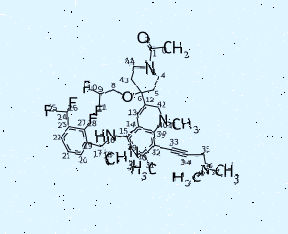 CC(=O)N1CCC(OCC(F)F)(C2=Cc3c(N[C@H](C)c4cccc(C(F)F)c4F)nc(C)c(C#CCN(C)C)c3N(C)C2)CC1